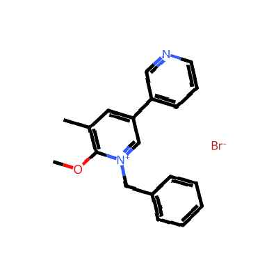 COc1c(C)cc(-c2cccnc2)c[n+]1Cc1ccccc1.[Br-]